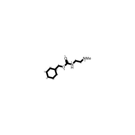 CNCCNC(=O)OCC1CCCCC1